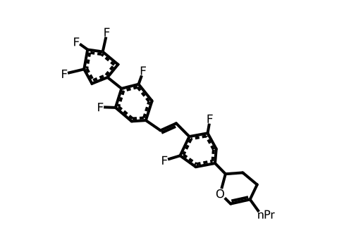 CCCC1=COC(c2cc(F)c(/C=C/c3cc(F)c(-c4cc(F)c(F)c(F)c4)c(F)c3)c(F)c2)CC1